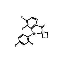 C[N+]1(C(=O)c2ccc(F)c(F)c2Nc2ccc(I)cc2F)CCC1